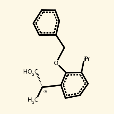 CC(C)c1cccc([C@H](C)C(=O)O)c1OCc1ccccc1